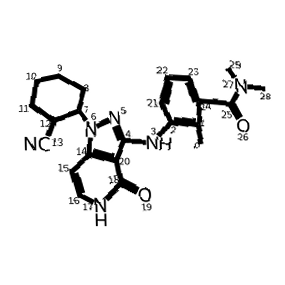 Cc1c(Nc2nn(C3CCCCC3C#N)c3cc[nH]c(=O)c23)cccc1C(=O)N(C)C